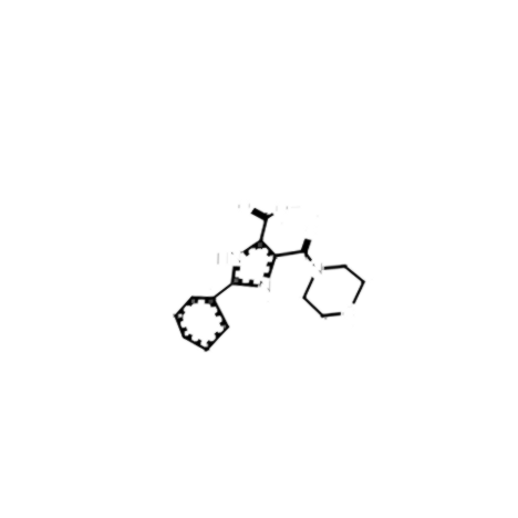 O=C(O)c1[nH]c(-c2ccccc2)nc1C(=O)N1CCOCC1